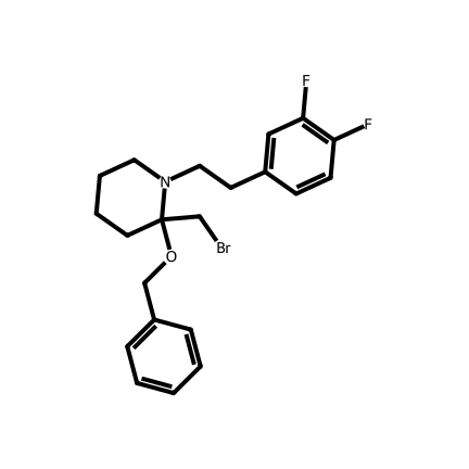 Fc1ccc(CCN2CCCCC2(CBr)OCc2ccccc2)cc1F